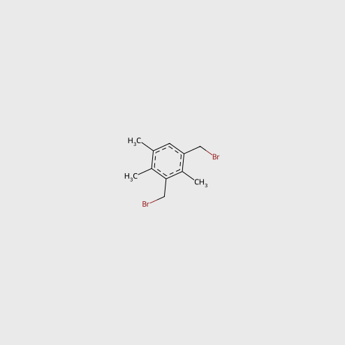 Cc1cc(CBr)c(C)c(CBr)c1C